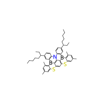 CCCCCC(CC)c1ccc2c(c1)B1c3c(C)cc(C)cc3Sc3cc4c5c(c31)N2c1ccc(C(CC)CCCCC)cc1B5c1c(C)cc(C)cc1S4